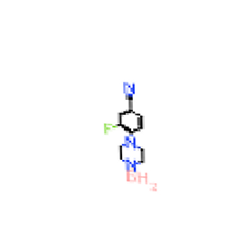 BN1CCN(c2ccc(C#N)cc2F)CC1